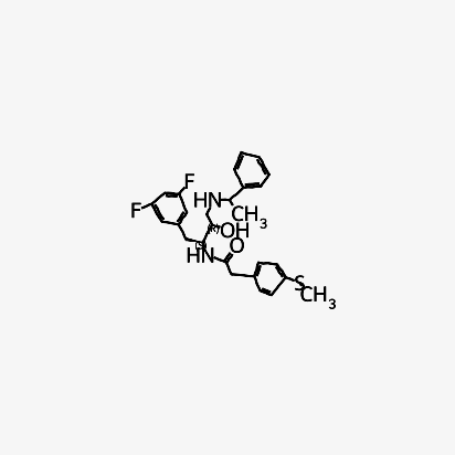 CSc1ccc(CC(=O)N[C@@H](Cc2cc(F)cc(F)c2)[C@H](O)CNC(C)c2ccccc2)cc1